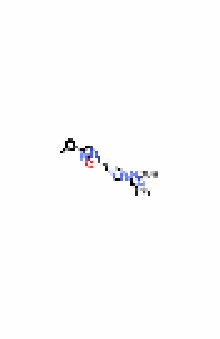 CCCc1cc(N2CCN(CCCCn3ccc(-c4cccc(C)c4)nc3=O)CC2)nc(C(C)(C)C)n1